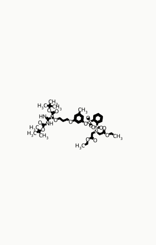 CCOC(=O)CN(CC(=O)OCC)S(=O)(=O)c1ccccc1S(=O)(=O)Oc1cc(C)cc(OCCCON(C(=N)NC(=O)OC(C)(C)C)C(=O)OC(C)(C)C)c1